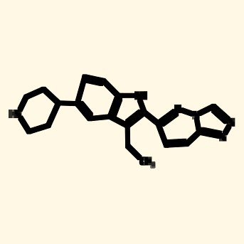 CCc1c(-c2ccc3nncn3n2)[nH]c2ccc(C3CCNCC3)cc12